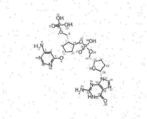 Nc1cc(O[C@@H]2C[C@H](COP(=O)(O)O)[C@@H](OP(=O)(O)OC[C@@H]3CC[C@H](n4cnc5c(=O)[nH]c(N)nc54)O3)C2)ncn1